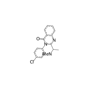 CNC(C)c1nc2ccccc2c(=O)n1-c1ccc(Cl)cc1